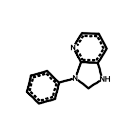 c1ccc(N2CNc3cccnc32)cc1